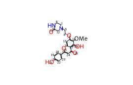 COc1c(OCCN2CCNC(=O)C2)cc2oc(-c3ccc(O)cc3)cc(=O)c2c1O